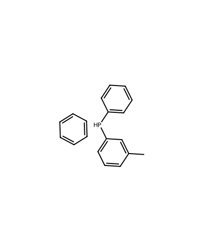 Cc1cccc(Pc2ccccc2)c1.c1ccccc1